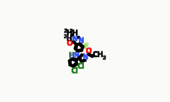 [2H]C([2H])([2H])n1cnc2c(F)cc(N[C@]3(c4c(F)ccc(Cl)c4Cl)CCN(C(=O)C=C)C3)cc2c1=O